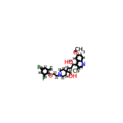 COc1ccc2ncc(Cl)c([C@H](O)CCC3(CO)CCN(CCOc4c(F)cc(F)cc4F)CC3)c2c1